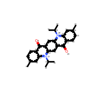 Cc1ccc2c(=O)c3cc4c(cc3n(C(C)C)c2c1)c(=O)c1ccc(C)cc1n4C(C)C